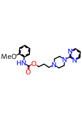 COc1ccccc1NC(=O)OCCCN1CCN(c2ncccn2)CC1